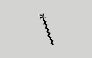 CCCCCCCCCCCCCCC[Si](C)(C)Br